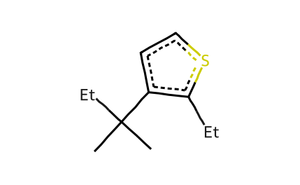 CCc1sccc1C(C)(C)CC